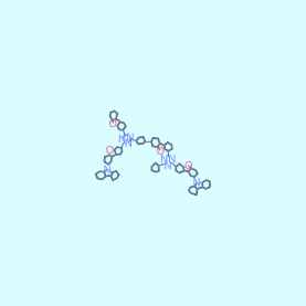 c1ccc(-c2nc(-c3ccc4c(c3)oc3ccc(-n5c6ccccc6c6ccccc65)cc34)nc(-c3cccc4c3oc3cc(-c5ccc(-c6nc(-c7ccc8c(c7)oc7ccccc78)nc(-c7ccc8c(c7)oc7ccc(-n9c%10ccccc%10c%10ccccc%109)cc78)n6)cc5)ccc34)n2)cc1